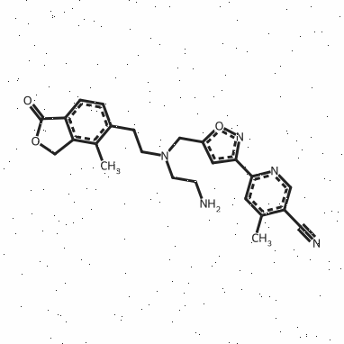 Cc1cc(-c2cc(CN(CCN)CCc3ccc4c(c3C)COC4=O)on2)ncc1C#N